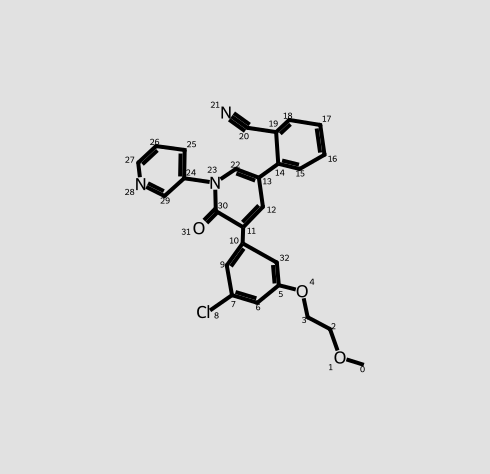 COCCOc1cc(Cl)cc(-c2cc(-c3ccccc3C#N)cn(-c3cccnc3)c2=O)c1